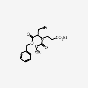 CCOC(=O)CCN(C(=O)OC(C)(C)C)C(CC(C)C)C(=O)OCc1ccccc1